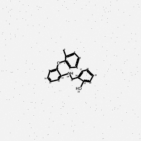 Cc1ccccc1Oc1ccccc1NCc1ccccc1O